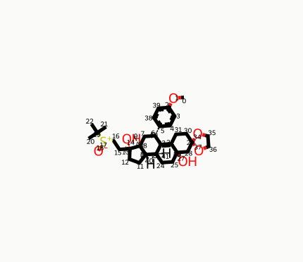 COc1ccc([C@H]2C[C@@]3(C)[C@@H](CC[C@@]3(O)CC[S+]([O-])C(C)(C)C)[C@@H]3CC[C@@]4(O)CC5(CCC4=C32)OCCO5)cc1